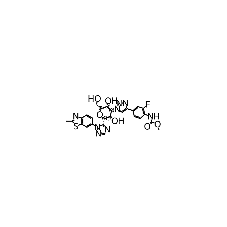 COC(=O)Nc1ccc(-c2cn([C@H]3[C@@H](O)[C@@H](CO)O[C@@H](c4ncnn4-c4ccc5nc(C)sc5c4)[C@@H]3O)nn2)cc1F